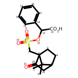 CC1(C)C2CCC1(CS(=O)(=O)OC(C(=O)O)c1ccccc1)C(=O)C2